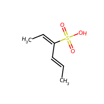 CC=C/C(=C\C)S(=O)(=O)O